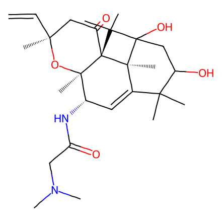 C=C[C@@]1(C)CC(=O)[C@@]23C(C)(C)C4(O)CC(O)C(C)(C)C(=C[C@H](NC(=O)CN(C)C)[C@@]2(C)O1)[C@]43C